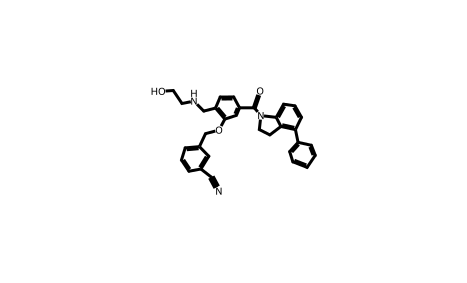 N#Cc1cccc(COc2cc(C(=O)N3CCc4c(-c5ccccc5)cccc43)ccc2CNCCO)c1